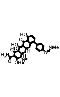 CN/C=N\c1ccc(-c2ccc(O)c3c2C[C@H]2C[C@H]4[C@H](N(C)C)C(O)=C(C(N)=O)C(=O)[C@@]4(O)C(O)=C2C3=O)cc1